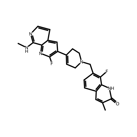 CNc1nccc2cc(C3=CCN(Cc4ccc5cc(C)c(=O)[nH]c5c4F)CC3)c(F)nc12